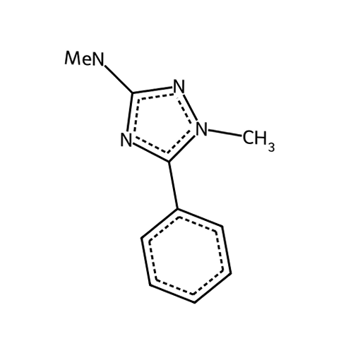 CNc1nc(-c2ccccc2)n(C)n1